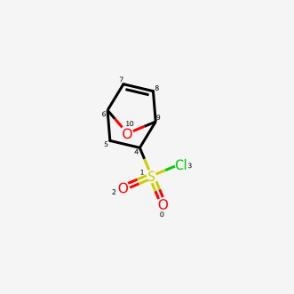 O=S(=O)(Cl)C1CC2C=CC1O2